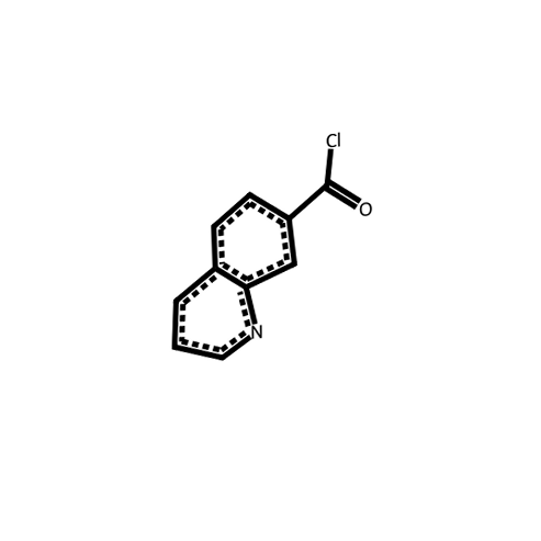 O=C(Cl)c1ccc2cccnc2c1